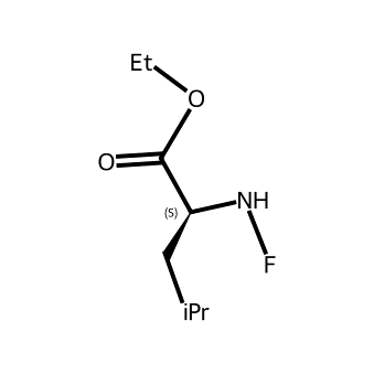 CCOC(=O)[C@H](CC(C)C)NF